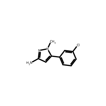 Cn1nc(N)cc1-c1cccc(Cl)c1